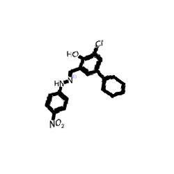 O=[N+]([O-])c1ccc(N/N=C/c2cc(C3CCCCC3)cc(Cl)c2O)cc1